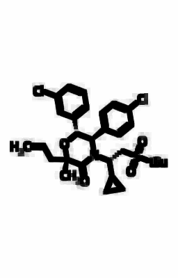 C=CC[C@]1(C)O[C@H](c2cccc(Cl)c2)[C@@H](c2ccc(Cl)cc2)N([C@H](CS(=O)(=O)C(C)(C)C)C2CC2)C1=O